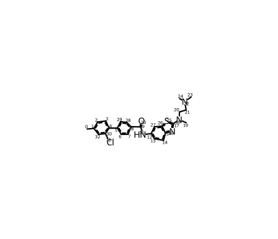 Cc1ccc(-c2ccc(C(=O)Nc3ccc4nc(N(C)CCN(C)C)sc4c3)cc2)c(Cl)c1